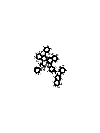 c1ccc(-c2ccc(-c3nc4ccccc4nc3-n3c4ccc(-n5c6ccccc6c6cc7ccccc7cc65)cc4c4c5ccccc5ccc43)c3ccccc23)cc1